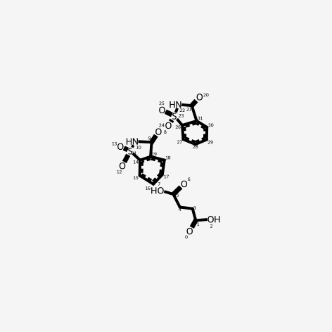 O=C(O)CCC(=O)O.O=C1NS(=O)(=O)c2ccccc21.O=C1NS(=O)(=O)c2ccccc21